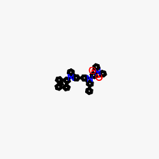 c1ccc(-c2ccc3c(c2)c2cc(-c4ccc5c(c4)c4ccccc4n5-c4ccc([Si](c5ccccc5)(c5ccccc5)c5ccccc5)cc4)ccc2n3-c2cc3c4c(c2)Oc2ccccc2N4c2ccccc2O3)cc1